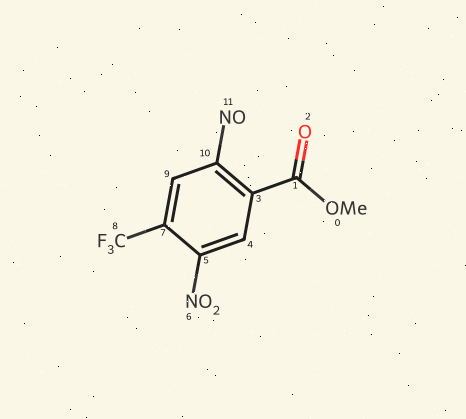 COC(=O)c1cc([N+](=O)[O-])c(C(F)(F)F)cc1N=O